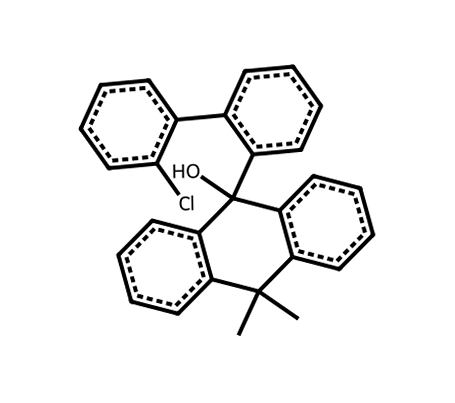 CC1(C)c2ccccc2C(O)(c2ccccc2-c2ccccc2Cl)c2ccccc21